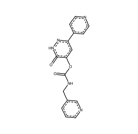 O=C(NCc1cccnc1)Oc1cc(-c2ccncc2)n[nH]c1=O